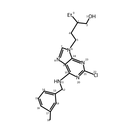 CCC(CO)CCn1cnc2c(NCc3cccc(C)c3)nc(Cl)nc21